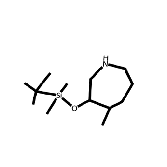 CC1CCCNCC1O[Si](C)(C)C(C)(C)C